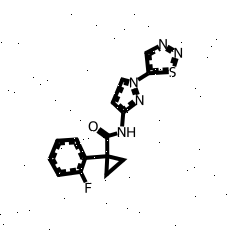 O=C(Nc1ccn(-c2cnns2)n1)C1(c2ccccc2F)CC1